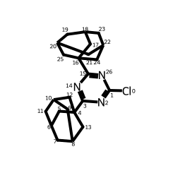 Clc1nc(C23CC4CC(CC(C4)C2)C3)nc(C23CC4CC(CC(C4)C2)C3)n1